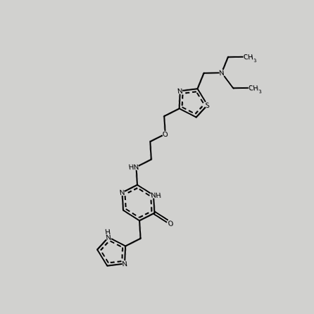 CCN(CC)Cc1nc(COCCNc2ncc(Cc3ncc[nH]3)c(=O)[nH]2)cs1